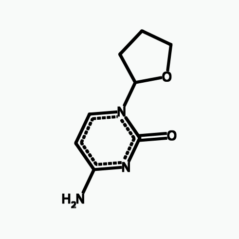 Nc1ccn(C2CCCO2)c(=O)n1